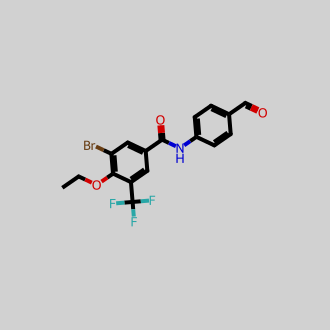 CCOc1c(Br)cc(C(=O)Nc2ccc(C=O)cc2)cc1C(F)(F)F